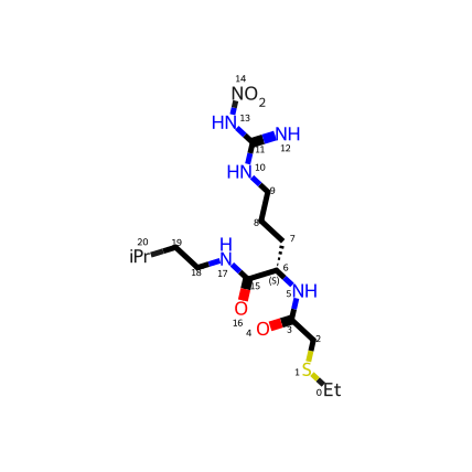 CCSCC(=O)N[C@@H](CCCNC(=N)N[N+](=O)[O-])C(=O)N[CH]CC(C)C